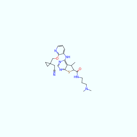 CC1c2c(Nc3cccnc3OCC3(CC#N)CC3)ncnc2SC1C(=O)NCCCN(C)C